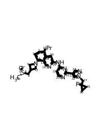 CC(C)c1ccc(N2CC(C[S+](C)[O-])C2)c2cnc(Nc3ccnc(-c4cnn(CC5(F)CC5)c4)n3)cc12